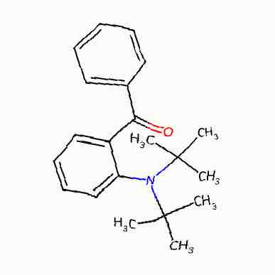 CC(C)(C)N(c1ccccc1C(=O)c1ccccc1)C(C)(C)C